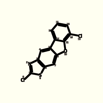 Clc1nc2cc3c(cc2s1)oc1c(Cl)cccc13